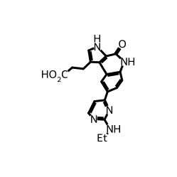 CCNc1nccc(-c2ccc3[nH]c(=O)c4[nH]cc(CCC(=O)O)c4c3c2)n1